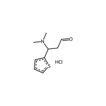 CN(C)C(CC=O)c1cccs1.Cl